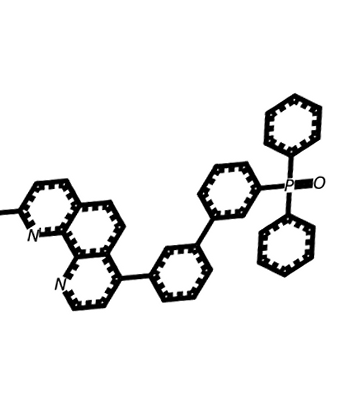 Cc1ccc2ccc3c(-c4cccc(-c5cccc(P(=O)(c6ccccc6)c6ccccc6)c5)c4)ccnc3c2n1